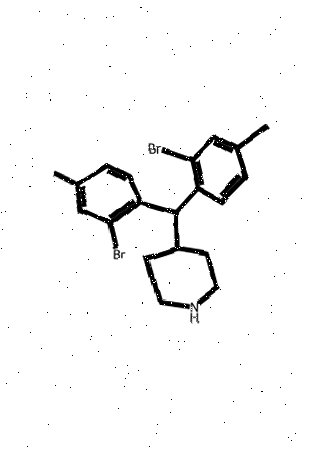 Cc1ccc(C(c2ccc(C)cc2Br)C2CCNCC2)c(Br)c1